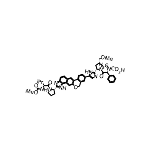 COC[C@H]1C[C@@H](c2ncc(-c3ccc4c(c3)COc3cc5c(ccc6nc([C@@H]7CCCN7C(=O)[C@@H](NC(=O)OC)C(C)C)[nH]c65)cc3-4)[nH]2)N(C(=O)[C@@H](c2ccccc2)N(C)C(=O)O)C1